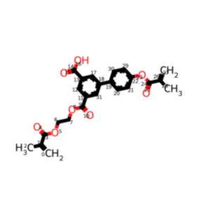 C=C(C)C(=O)OCCOC(=O)c1cc(C(=O)O)cc(-c2ccc(OC(=O)C(=C)C)cc2)c1